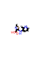 Cc1nc(C(=O)O)c(Nc2cccnc2C)s1